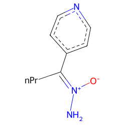 CCCC(c1ccncc1)=[N+](N)[O-]